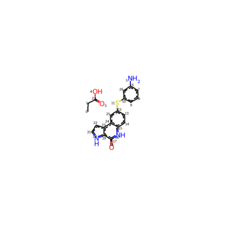 CCC(=O)O.Nc1cccc(Sc2ccc3[nH]c(=O)c4[nH]ccc4c3c2)c1